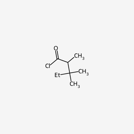 CCC(C)(C)C(C)C(=O)Cl